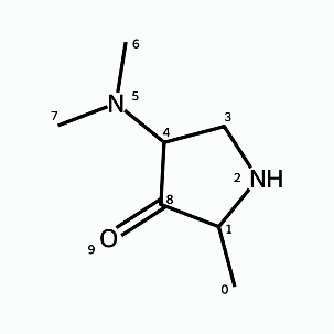 CC1NCC(N(C)C)C1=O